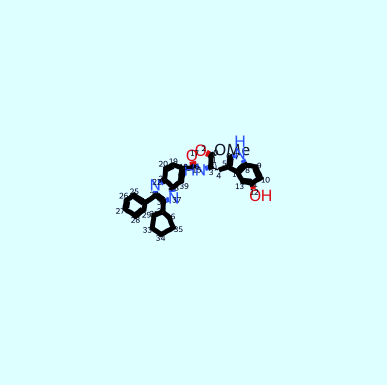 COC(=O)[C@H](Cc1c[nH]c2ccc(O)cc12)NC(=O)c1ccc2nc(-c3ccccc3)c(C3CCCCC3)nc2c1